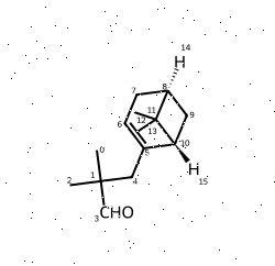 CC(C)(C=O)CC1=CC[C@H]2C[C@H]1C2(C)C